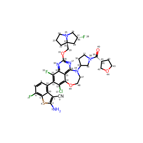 N#Cc1c(N)sc2c(F)ccc(-c3c(Cl)c4c5c(nc(OC[C@@]67CCCN6C[C@H](F)C7)nc5c3F)N(C3CCN(C(=O)[C@@H]5CCOC5)C3)CCO4)c12